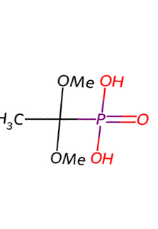 COC(C)(OC)P(=O)(O)O